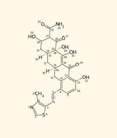 Cc1ncsc1/C=C/c1ccc(O)c2c1C[C@H]1C[C@H]3CC(O)C(C(N)=O)C(=O)[C@@]3(O)C(O)=C1C2=O